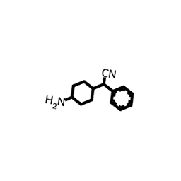 N#CC(c1ccccc1)C1CCC(N)CC1